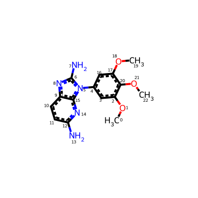 COc1cc(-n2c(N)nc3ccc(N)nc32)cc(OC)c1OC